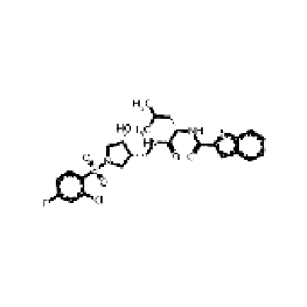 CC(C)C[C@H](NC(=O)c1cc2ccccc2s1)C(=O)NC[C@@H]1CN(S(=O)(=O)c2ccc(F)cc2Cl)C[C@@H]1O